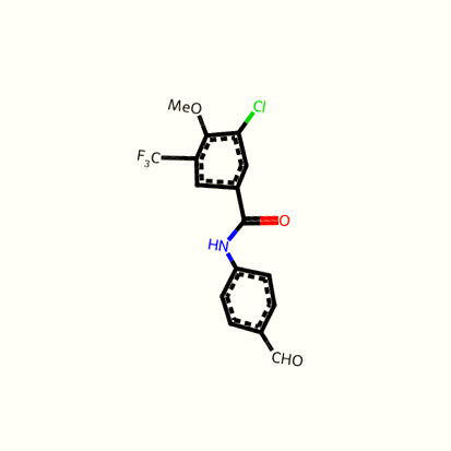 COc1c(Cl)cc(C(=O)Nc2ccc(C=O)cc2)cc1C(F)(F)F